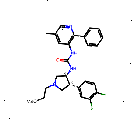 COCCN1C[C@@H](NC(=O)Nc2cc(C)cnc2-c2ccccc2)[C@H](c2ccc(F)c(F)c2)C1